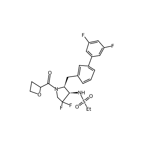 CCS(=O)(=O)N[C@@H]1[C@H](Cc2cccc(-c3cc(F)cc(F)c3)c2)N(C(=O)C2CCO2)CC1(F)F